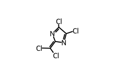 ClC1=NC(=C(Cl)Cl)N=C1Cl